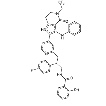 O=C(NCC(Cc1cc(-c2[nH]c3c(c2Nc2ccccc2)C(=O)N(CC(F)(F)F)CC3)ccn1)c1ccc(F)cc1)c1ccccc1O